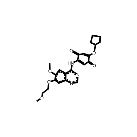 COCCOc1cc2ncnc(NC3=CC(=O)C(OC4CCCC4)=CC3=O)c2cc1OC